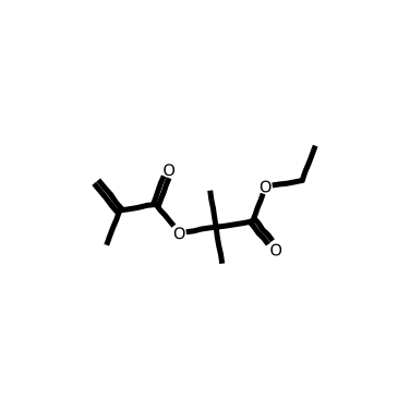 C=C(C)C(=O)OC(C)(C)C(=O)OCC